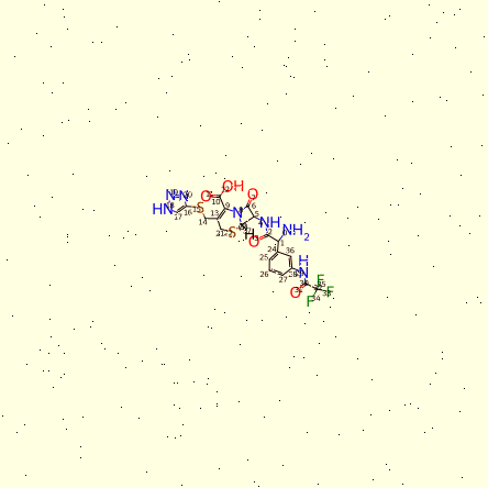 NC(C(=O)NC1C(=O)N2C(C(=O)O)=C(CSc3c[nH]nn3)CS[C@@H]12)c1cccc(NC(=O)C(F)(F)F)c1